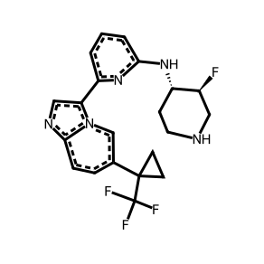 F[C@H]1CNCC[C@@H]1Nc1cccc(-c2cnc3ccc(C4(C(F)(F)F)CC4)cn23)n1